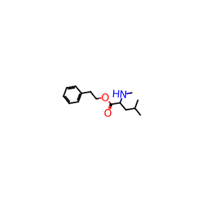 CNC(CC(C)C)C(=O)OCCc1ccccc1